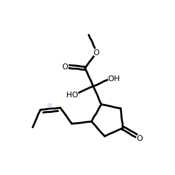 C/C=C\CC1CC(=O)CC1C(O)(O)C(=O)OC